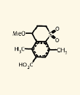 COC1CCS(=O)(=O)c2c(C)cc(C(=O)O)c(C)c21